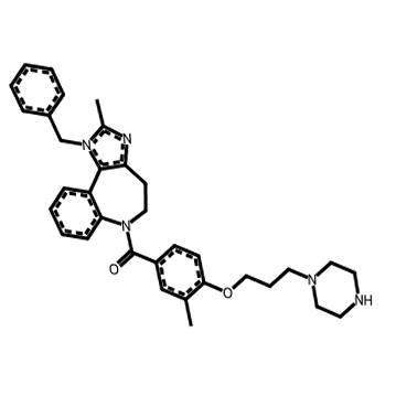 Cc1cc(C(=O)N2CCc3nc(C)n(Cc4ccccc4)c3-c3ccccc32)ccc1OCCCN1CCNCC1